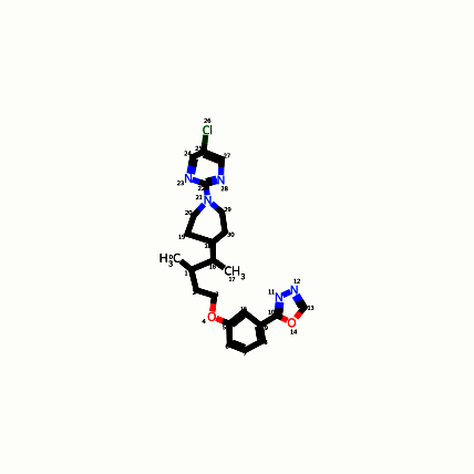 CC(CCOc1cccc(-c2nnco2)c1)C(C)C1CCN(c2ncc(Cl)cn2)CC1